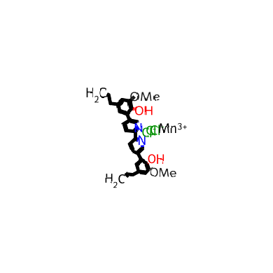 C=CCc1cc(OC)c(O)c(-c2ccc(-c3ccc(-c4cc(CC=C)cc(OC)c4O)cn3)nc2)c1.[Cl-].[Cl-].[Cl-].[Mn+3]